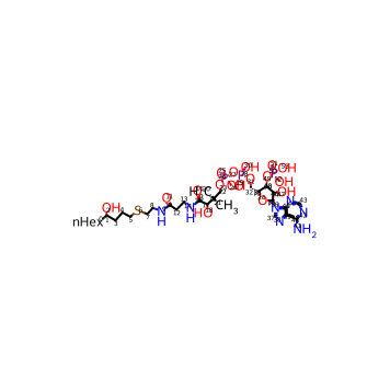 CCCCCCC(O)CCCSCCNC(=O)CCNC(=O)C(O)C(C)(C)COP(=O)(O)OP(=O)(O)OC[C@H]1O[C@@H](n2cnc3c(N)ncnc32)[C@H](O)[C@@H]1OP(=O)(O)O